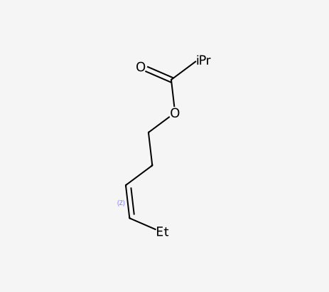 CC/C=C\CCOC(=O)C(C)C